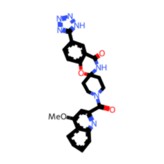 COc1cc(C(=O)N2CCC3(CC2)NC(=O)c2cc(-c4nnn[nH]4)ccc2O3)nc2ccccc12